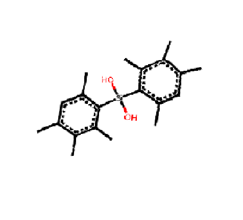 Cc1cc(C)c([Si](O)(O)c2c(C)cc(C)c(C)c2C)c(C)c1C